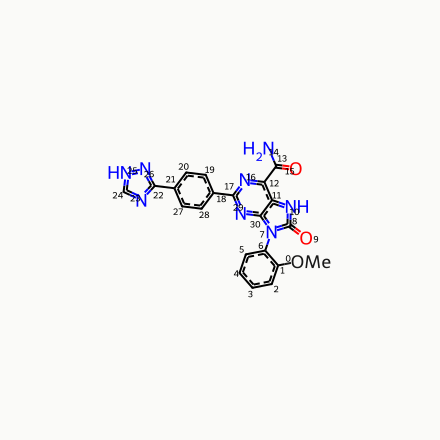 COc1ccccc1-n1c(=O)[nH]c2c(C(N)=O)nc(-c3ccc(-c4nc[nH]n4)cc3)nc21